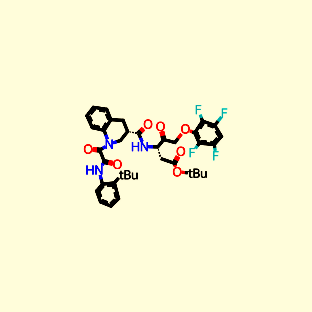 CC(C)(C)OC(=O)C[C@H](NC(=O)[C@H]1Cc2ccccc2N(C(=O)C(=O)Nc2ccccc2C(C)(C)C)C1)C(=O)COc1c(F)c(F)cc(F)c1F